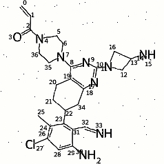 C=CC(=O)N1CCN(c2nc(N3CC(NC)C3)nc3c2CCC(c2c(C)c(Cl)cc(N)c2C=N)C3)CC1